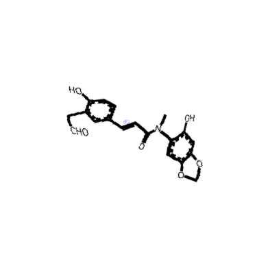 CN(C(=O)/C=C/c1ccc(O)c(CC=O)c1)c1cc2c(cc1O)OCO2